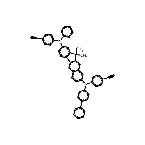 CC1(C)c2cc(N(c3ccccc3)c3ccc(C#N)cc3)ccc2-c2cc3ccc(N(c4ccc(C#N)cc4)c4ccc(-c5ccccc5)cc4)cc3cc21